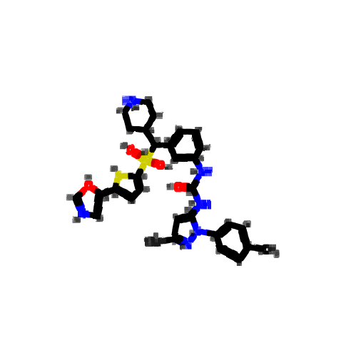 Cc1ccc(-n2nc(C(C)(C)C)cc2NC(=O)Nc2cccc(C(C3CCNCC3)S(=O)(=O)c3ccc(-c4cnco4)s3)c2)cc1